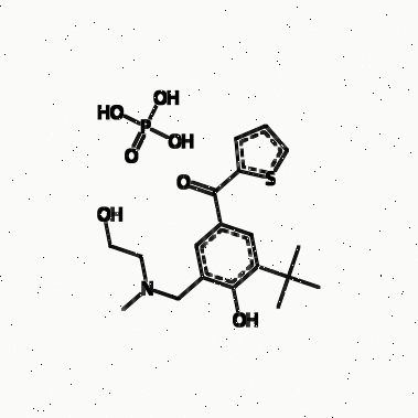 CN(CCO)Cc1cc(C(=O)c2cccs2)cc(C(C)(C)C)c1O.O=P(O)(O)O